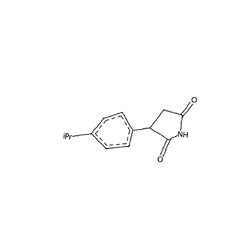 CC(C)c1ccc(C2CC(=O)NC2=O)cc1